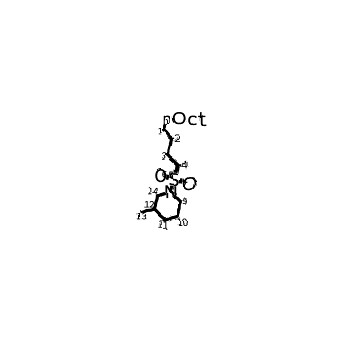 CCCCCCCCCCCCS(=O)(=O)N1CCCC(C)C1